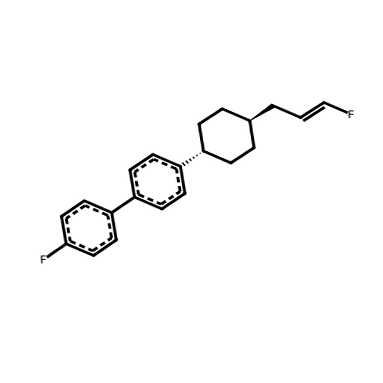 FC=CC[C@H]1CC[C@H](c2ccc(-c3ccc(F)cc3)cc2)CC1